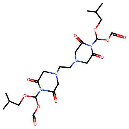 CC(C)COC(OC=O)N1C(=O)CN(CCN2CC(=O)N(C(OC=O)OCC(C)C)C(=O)C2)CC1=O